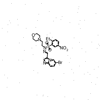 CCc1ccc([N+](=O)[O-])cc1S(=O)(=O)N(CCN1CCOCC1)N=Cc1cnc2ccc(Br)cn12